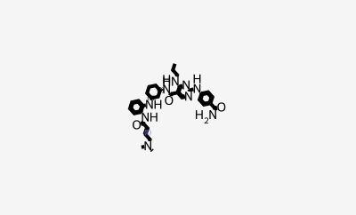 CCCNc1nc(Nc2ccc(C(N)=O)cc2)ncc1C(=O)N[C@@H]1CCC[C@H](Nc2ccccc2NC(=O)/C=C/CN(C)C)C1